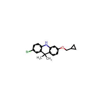 CC1(C)c2ccc(OCC3CC3)cc2Nc2ccc(Br)cc21